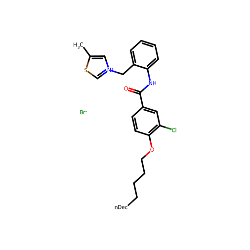 CCCCCCCCCCCCCCOc1ccc(C(=O)Nc2ccccc2C[n+]2csc(C)c2)cc1Cl.[Br-]